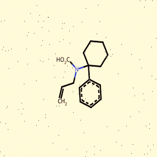 C=CCN(C(=O)O)C1(c2ccccc2)CCCCC1